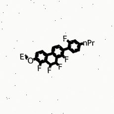 CCCc1ccc(-c2ccc3c(c2F)C(F)C(F)c2c-3ccc(OCC)c2F)c(F)c1